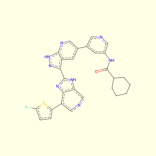 O=C(Nc1cncc(-c2cnc3[nH]nc(-c4nc5c(-c6ccc(F)s6)cncc5[nH]4)c3c2)c1)C1CCCCC1